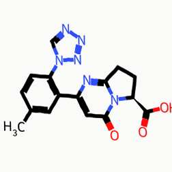 Cc1ccc(-n2cnnn2)c(-c2cc(=O)n3c(n2)CC[C@H]3C(=O)O)c1